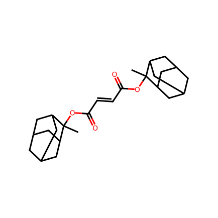 CC1(OC(=O)/C=C/C(=O)OC2(C)C3CC4CC(C3)CC2C4)C2CC3CC(C2)CC1C3